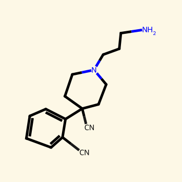 N#Cc1ccccc1C1(C#N)CCN(CCCN)CC1